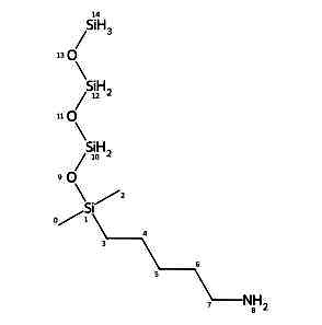 C[Si](C)(CCCCCN)O[SiH2]O[SiH2]O[SiH3]